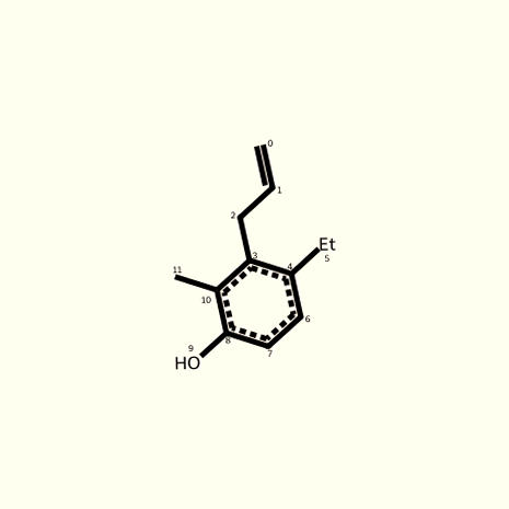 C=CCc1c(CC)ccc(O)c1C